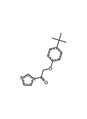 CC(C)(C)c1ccc(OCC(=O)n2ccnc2)cc1